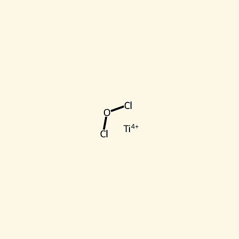 ClOCl.[Ti+4]